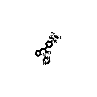 CCN(CC)S(=O)(=O)c1ccc(C(CC2CCCC2)C(=O)Nc2cnccn2)cc1